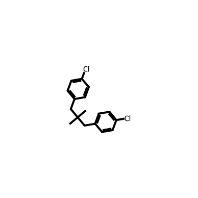 CC(C)(Cc1ccc(Cl)cc1)Cc1ccc(Cl)cc1